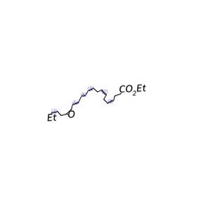 CC/C=C\CC1OC1/C=C/C=C/C=C\C/C=C\C/C=C\CCC(=O)OCC